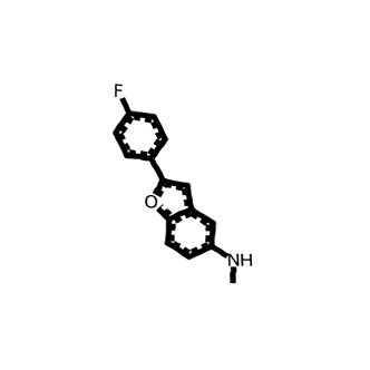 CNc1ccc2oc(-c3ccc(F)cc3)cc2c1